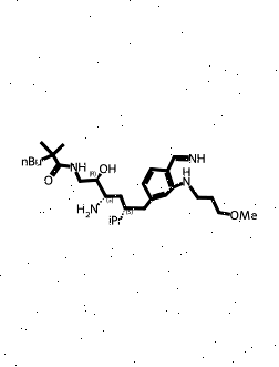 CCCCC(C)(C)C(=O)NC[C@@H](O)[C@@H](N)C[C@H](Cc1ccc(C=N)c(NCCCOC)c1)C(C)C